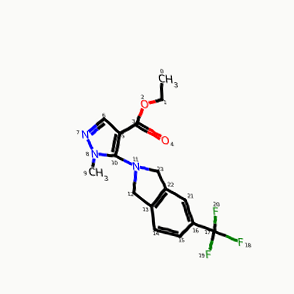 CCOC(=O)c1cnn(C)c1N1Cc2ccc(C(F)(F)F)cc2C1